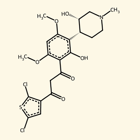 COc1cc(OC)c([C@H]2CCN(C)C[C@H]2O)c(O)c1C(=O)CC(=O)c1cc(Cl)sc1Cl